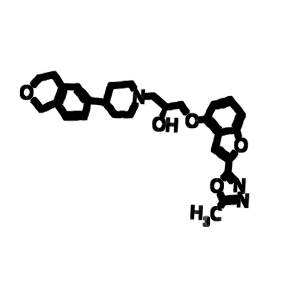 Cc1nnc(-c2cc3c(OC[C@@H](O)CN4CCC(c5ccc6c(c5)CCOC6)CC4)cccc3o2)o1